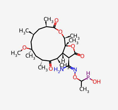 CO[C@@]1(C)C[C@@H](C)C[C@@H](C)C(=O)O[C@@H](C)[C@]2(C)OC(=O)[C@@H](/C(N)=N/OC(C)PO)[C@@H]2[C@@H](C)C(=O)[C@H](C)C1